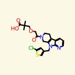 CC(C)(COCC(=O)N1CCc2c(n(Cc3csc(Cl)c3)c3ncccc23)C1)C(=O)O